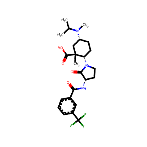 CC(C)N(C)[C@@H]1CC[C@H](N2CC[C@H](NC(=O)c3cccc(C(F)(F)F)c3)C2=O)C(C)(C(=O)O)C1